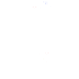 Cc1ccc(S(=O)(=O)OCCOCc2ccc(C(N)=O)cc2)cc1